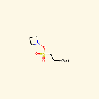 CCCCCCCS(=O)(=O)ON1CCC1